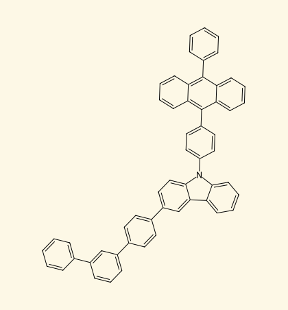 c1ccc(-c2cccc(-c3ccc(-c4ccc5c(c4)c4ccccc4n5-c4ccc(-c5c6ccccc6c(-c6ccccc6)c6ccccc56)cc4)cc3)c2)cc1